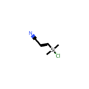 C[Si](C)(Cl)C=CC#N